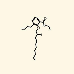 CCCCCCCCC(I)COc1c(CCCC)cccc1C(=O)OCC